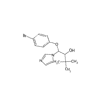 CC(C)(C)C(O)C(Oc1ccc(Br)cc1)n1ccnc1